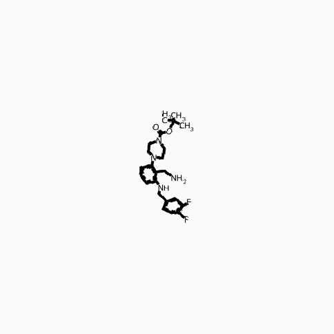 CC(C)(C)OC(=O)N1CCN(c2cccc(NCc3ccc(F)c(F)c3)c2CN)CC1